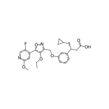 CCOc1c(COc2cccc(C(CC(=O)O)SC3CC3)c2)noc1-c1cc(OC)ncc1F